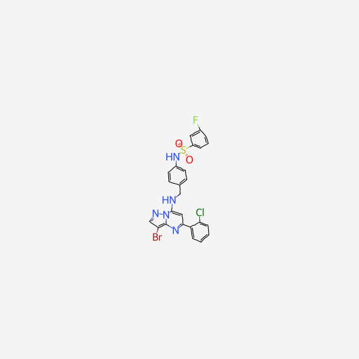 O=S(=O)(Nc1ccc(CNc2cc(-c3ccccc3Cl)nc3c(Br)cnn23)cc1)c1cccc(F)c1